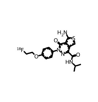 CC(C)NC(=O)c1nn(-c2ccc(OCC[18F])cc2)c(=O)c2c(N)scc12